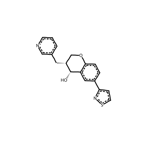 O[C@H]1c2cc(-c3ccsn3)ccc2OC[C@H]1Cc1cccnc1